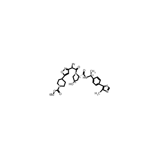 Cc1ncsc1-c1ccc([C@H](C)NC(=O)[C@@H]2C[C@@H](O)CN2C(=O)C(c2cc(C3CCN(C(=O)OC(C)(C)C)CC3)on2)C(C)C)cc1